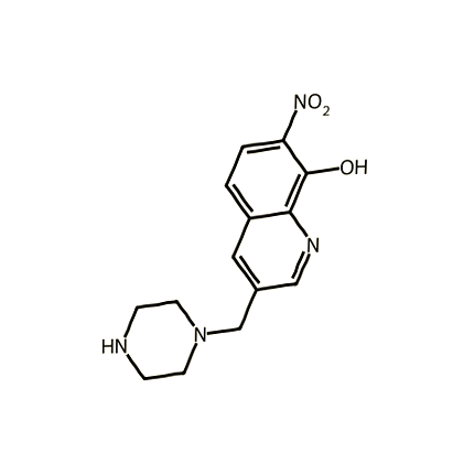 O=[N+]([O-])c1ccc2cc(CN3CCNCC3)cnc2c1O